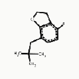 CC(C)(C)Cc1ccc(F)c2c1OCC2